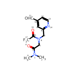 CN(C)C(=O)CN(Cc1cc(C=O)ccn1)C(=O)C(F)(F)F